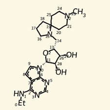 CCNc1ncnc2c1ccn2[C@@H]1O[C@H](CN2CCCC23CCN(C)CC3)[C@@H](O)[C@H]1O